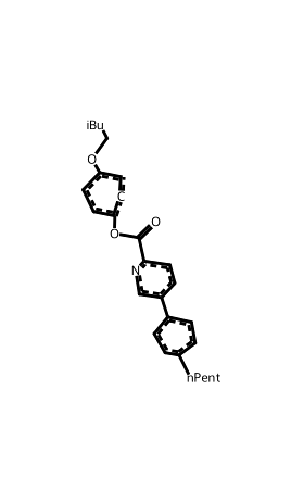 CCCCCc1ccc(-c2ccc(C(=O)Oc3ccc(OCC(C)CC)cc3)nc2)cc1